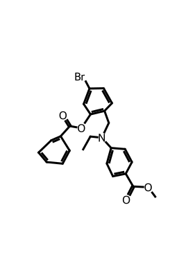 CCN(Cc1ccc(Br)cc1OC(=O)c1ccccc1)c1ccc(C(=O)OC)cc1